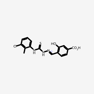 Cc1c(Cl)cccc1NC(=S)N/N=C/c1ccc(C(=O)O)cc1O